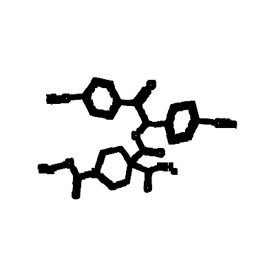 COc1ccc(C(=O)C(OC(=O)C2(C(N)=O)CCN(C(=O)OC(C)(C)C)CC2)c2ccc(OC)cc2)cc1